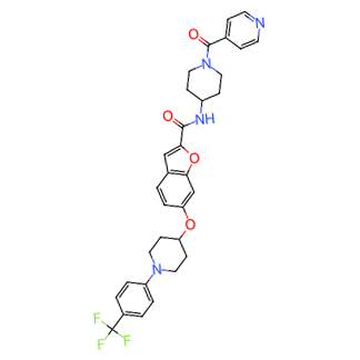 O=C(NC1CCN(C(=O)c2ccncc2)CC1)c1cc2ccc(OC3CCN(c4ccc(C(F)(F)F)cc4)CC3)cc2o1